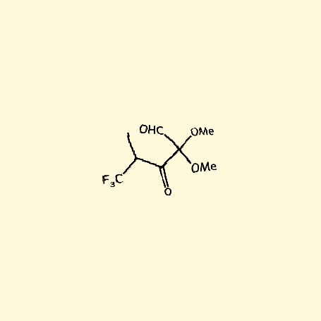 COC(C=O)(OC)C(=O)C(C)C(F)(F)F